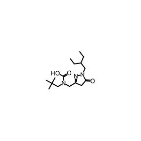 CCC(CC)CN1N=C(CN(CC(C)(C)C)C(=O)O)CC1=O